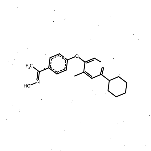 C=C(/C=C(C)\C(=C/C)Oc1ccc(/C(=N/O)C(F)(F)F)cc1)C1CCCCC1